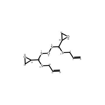 C=CCSC(SOSC(SCC=C)C1CO1)C1CO1